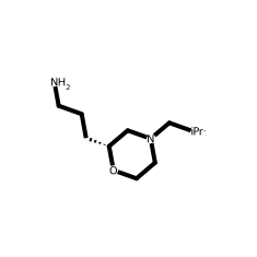 C[C](C)CN1CCO[C@H](CCCN)C1